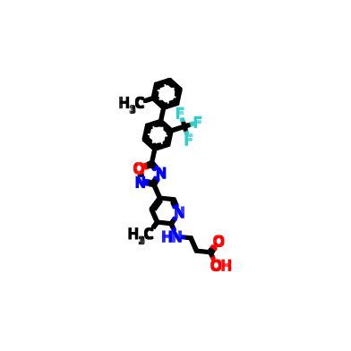 Cc1ccccc1-c1ccc(-c2nc(C3=CC(C)C(NCCC(=O)O)N=C3)no2)cc1C(F)(F)F